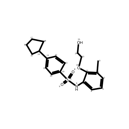 Cc1cccc(NS(=O)(=O)c2ccc(C3CCCC3)cc2)c1OCCO